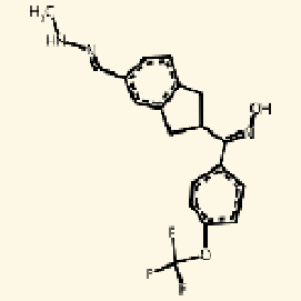 CN/N=C/c1ccc2c(c1)CC(/C(=N\O)c1ccc(OC(F)(F)F)cc1)C2